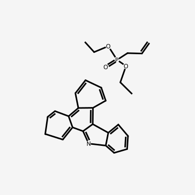 C1=Cc2c(c3c(c4ccccc24)-c2ccccc2N=3)=CC1.C=CCP(=O)(OCC)OCC